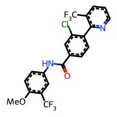 COc1ccc(NC(=O)c2ccc(-c3ncccc3C(F)(F)F)c(Cl)c2)cc1C(F)(F)F